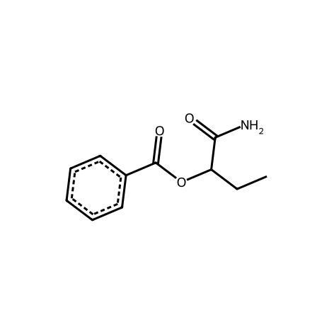 CCC(OC(=O)c1ccccc1)C(N)=O